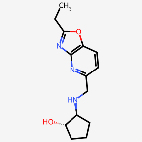 CCc1nc2nc(CN[C@H]3CCC[C@@H]3O)ccc2o1